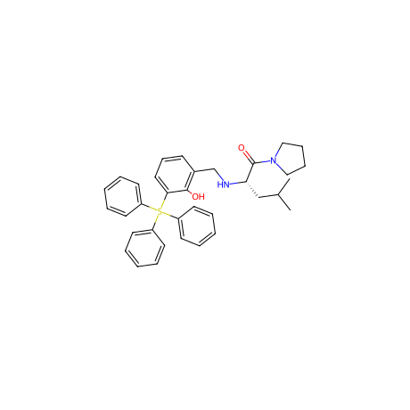 CC(C)C[C@H](NCc1cccc(S(c2ccccc2)(c2ccccc2)c2ccccc2)c1O)C(=O)N1CCCC1